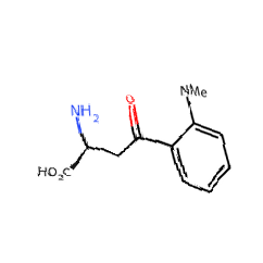 CNc1ccccc1C(=O)C[C@H](N)C(=O)O